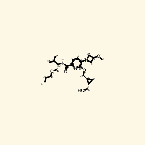 COC1CN(c2ccc(C(=O)N[C@H](COCCF)C(C)C)nc2OC[C@H]2C[C@@H]2CO)C1